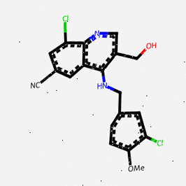 COc1ccc(CNc2c(CO)cnc3c(Cl)cc(C#N)cc23)cc1Cl